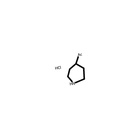 CC(=O)C1CCNCC1.Cl